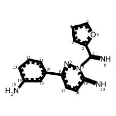 N=C(c1ccco1)n1nc(-c2cccc(N)c2)ccc1=N